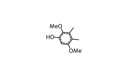 COc1cc(O)c(OC)c(C)c1C